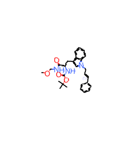 COCNC(=O)C(Cc1cn(C/C=C/c2ccccc2)c2ccccc12)NC(=O)OC(C)(C)C